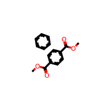 COC(=O)c1ccc(C(=O)OC)cc1.c1ccccc1